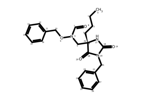 CCCC[C@@]1(CN(C=O)OCc2ccccc2)NC(=O)N(Cc2ccccc2)C1=O